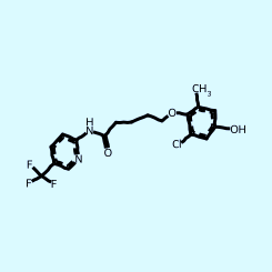 Cc1cc(O)cc(Cl)c1OCCCCC(=O)Nc1ccc(C(F)(F)F)cn1